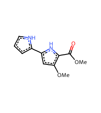 COC(=O)c1[nH]c(-c2ccc[nH]2)cc1OC